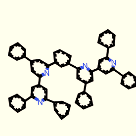 c1ccc(-c2cc(-c3cccc(-c4cc(-c5ccccc5)cc(-c5cc(-c6ccccc6)nc(-c6ccccc6)c5)n4)c3)nc(-c3cc(-c4ccccc4)nc(-c4ccccc4)c3)c2)cc1